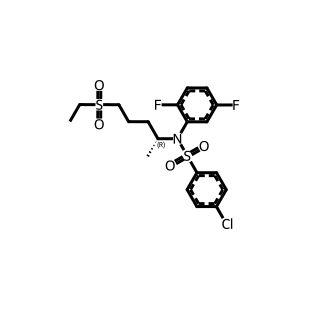 CCS(=O)(=O)CCC[C@@H](C)N(c1cc(F)ccc1F)S(=O)(=O)c1ccc(Cl)cc1